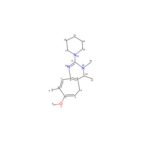 COC1=CCC2=C(C=C1I)N=C(N1CCCCC1)N(C)C2C